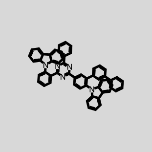 c1ccc(-c2cccc(-c3cc(-c4nc(-c5ccccc5)nc(-c5ccccc5-n5c6ccccc6c6ccccc65)n4)ccc3-n3c4ccccc4c4ccccc43)c2)cc1